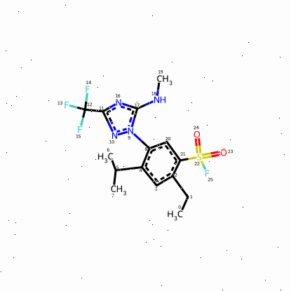 CCc1cc(C(C)C)c(-n2nc(C(F)(F)F)nc2NC)cc1S(=O)(=O)F